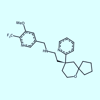 COc1cc(CNCC[C@]2(c3ccccn3)CCOC3(CCCC3)C2)cnc1C(F)(F)F